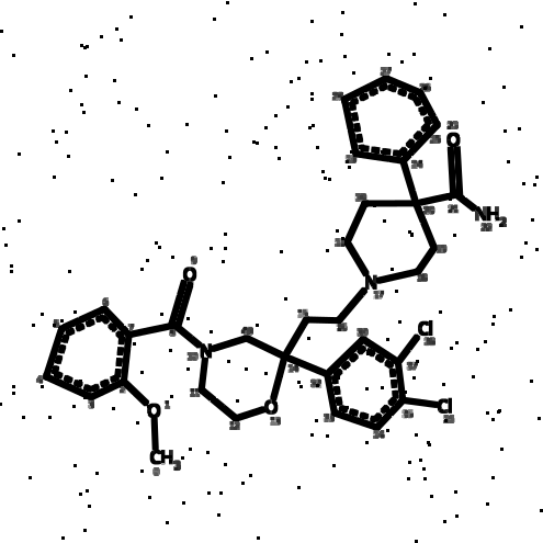 COc1ccccc1C(=O)N1CCOC(CCN2CCC(C(N)=O)(c3ccccc3)CC2)(c2ccc(Cl)c(Cl)c2)C1